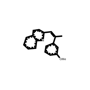 COc1cccc(C(C)=Cc2ccc3ccccc3n2)c1